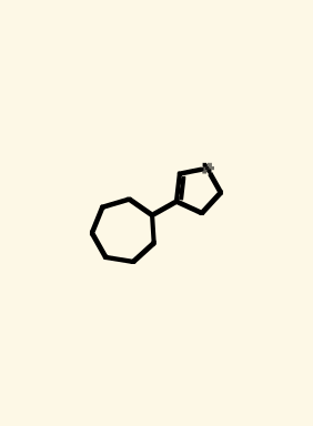 C1=C(C2CCCCCC2)CC[N]1